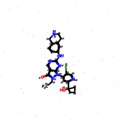 O=c1c2cnc(Nc3ccc4c(c3)CCNC4)nc2n(-c2cc(C3(O)CCC3)ncc2F)n1CC(F)(F)F